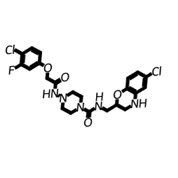 O=C(COc1ccc(Cl)c(F)c1)NN1CCN(C(=O)NCC2CNc3cc(Cl)ccc3O2)CC1